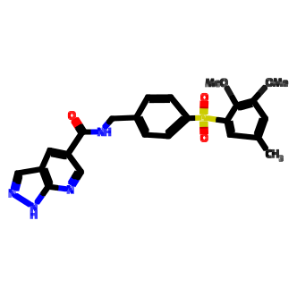 COc1cc(C)cc(S(=O)(=O)c2ccc(CNC(=O)c3cnc4[nH]ncc4c3)cc2)c1OC